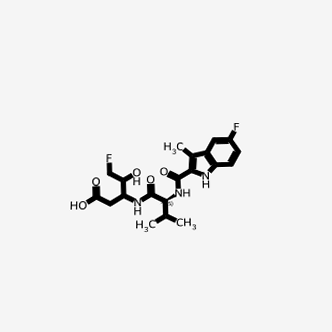 Cc1c(C(=O)N[C@H](C(=O)NC(CC(=O)O)C(O)CF)C(C)C)[nH]c2ccc(F)cc12